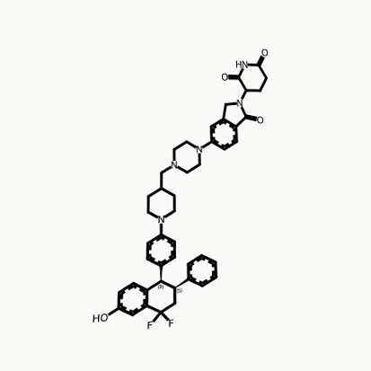 O=C1CCC(N2Cc3cc(N4CCN(CC5CCN(c6ccc([C@@H]7c8ccc(O)cc8C(F)(F)C[C@@H]7c7ccccc7)cc6)CC5)CC4)ccc3C2=O)C(=O)N1